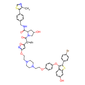 Cc1ncsc1-c1ccc(CNC(=O)C2CC(O)CN2C(=O)[C@H](c2cc(OCCN3CCN(CCOc4ccc(Oc5c(-c6ccc(Br)cc6)sc6cc(O)ccc56)cc4)CC3)no2)C(C)C)cc1